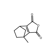 CC12CCC(C1)C1=C2C(=O)OC1=O